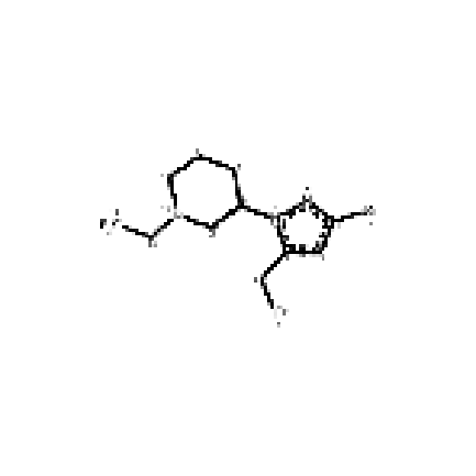 CC(C)Cc1cc(Br)nn1C1CCCN(CC(F)(F)F)C1